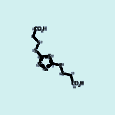 O=C(O)CSSc1nnc(SSCC(=O)O)s1